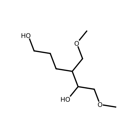 COCC(O)C(CCCO)COC